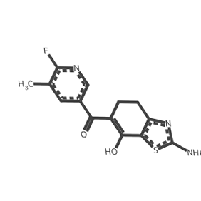 CC(=O)Nc1nc2c(s1)C(O)=C(C(=O)c1cnc(F)c(C)c1)CC2